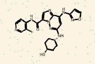 O=C(Nc1ccncc1F)c1cnc2c(Nc3ccon3)cc(N[C@H]3CC[C@H](O)CC3)nn12